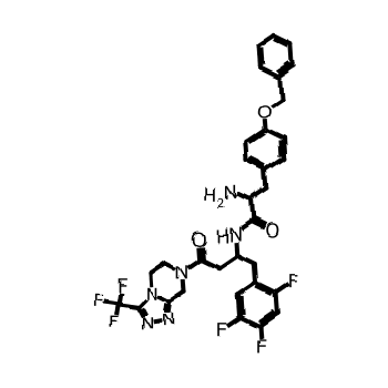 NC(Cc1ccc(OCc2ccccc2)cc1)C(=O)NC(CC(=O)N1CCn2c(nnc2C(F)(F)F)C1)Cc1cc(F)c(F)cc1F